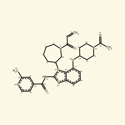 C=CC(=O)N1CCCCC(n2c(NC(=O)c3ccnc(C)c3)nc3cccc(OC4CCN(C(C)=O)CC4)c32)C1